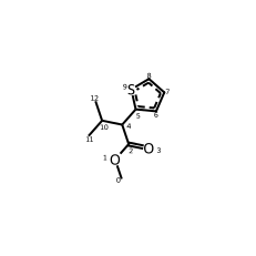 COC(=O)C(c1cccs1)C(C)C